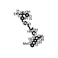 CC=C(CCCC(=O)N1CCN(Cc2ccc(-c3c(C(=O)NCC)noc3-c3cc(C(C)C)c(O)cc3O)cc2)CC1)N[C@@H]1C[C@@H](O[C@@H]2C[C@@](O)(C(=O)CO)Cc3c(O)c4c(c(O)c32)C(=O)c2c(OC)cccc2C4=O)O[C@H](C)[C@@H]1O